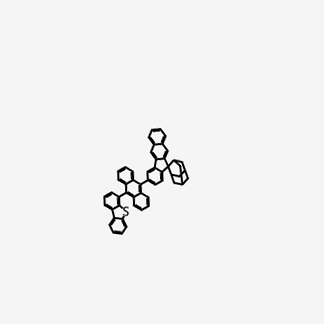 c1ccc2cc3c(cc2c1)-c1cc(-c2c4ccccc4c(-c4cccc5c4sc4ccccc45)c4ccccc24)ccc1C31C2CC3CC(C2)CC1C3